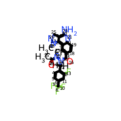 [2H]C([2H])(c1ccc(C(F)(F)F)cc1F)N(C(=O)c1ccc2nc(N)c3cnn(C)c3c2c1)N(C)C(C)=O